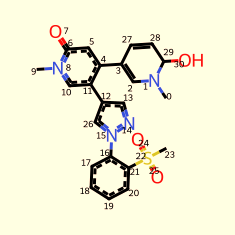 CN1C=C(c2cc(=O)n(C)cc2-c2cnn(-c3ccccc3S(C)(=O)=O)c2)C=CC1O